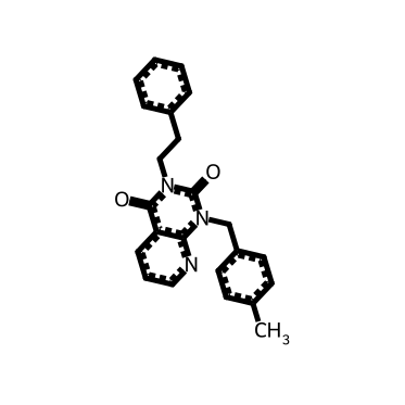 Cc1ccc(Cn2c(=O)n(CCc3ccccc3)c(=O)c3cccnc32)cc1